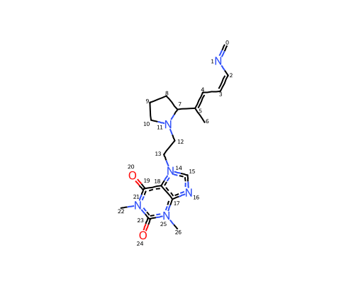 C=N/C=C\C=C(/C)C1CCCN1CCn1cnc2c1c(=O)n(C)c(=O)n2C